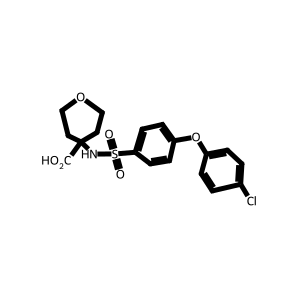 O=C(O)C1(NS(=O)(=O)c2ccc(Oc3ccc(Cl)cc3)cc2)CCOCC1